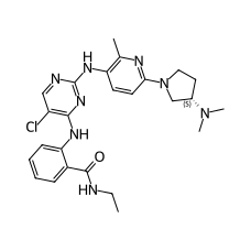 CCNC(=O)c1ccccc1Nc1nc(Nc2ccc(N3CC[C@H](N(C)C)C3)nc2C)ncc1Cl